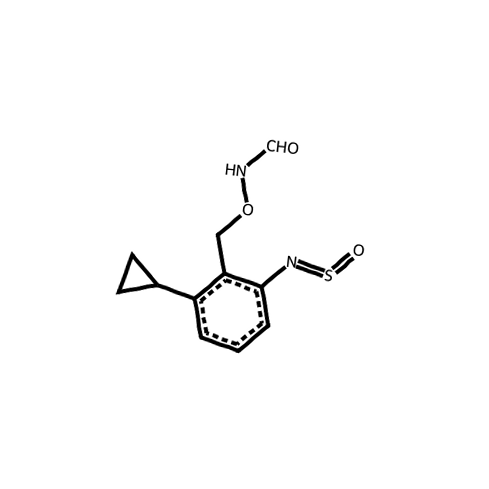 O=CNOCc1c(N=S=O)cccc1C1CC1